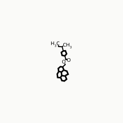 CCC(C)c1ccc(C(=O)OCc2ccc3ccc4cccc5ccc2c3c45)cc1